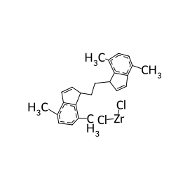 Cc1ccc(C)c2c1C=CC2CCC1C=Cc2c(C)ccc(C)c21.[Cl][Zr][Cl]